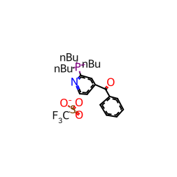 CCCC[P+](CCCC)(CCCC)c1cc(C(=O)c2ccccc2)ccn1.O=S(=O)([O-])C(F)(F)F